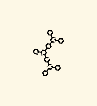 c1ccc(-c2cc(-c3ccc(-c4cc(-c5ccccn5)nc(-c5ccc(-c6nc(-c7ccccc7)cc(-c7ccccc7)n6)cn5)c4)cc3)nc(-c3ccccc3)n2)cc1